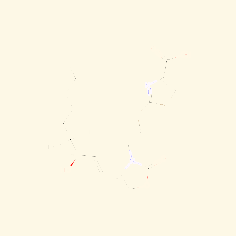 CC(C)(CCCCF)[C@H](O)C=C[C@H]1COC(=O)N1CCSc1nc(C(=O)O)cs1